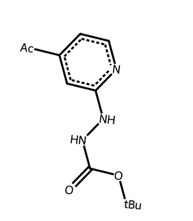 CC(=O)c1ccnc(NNC(=O)OC(C)(C)C)c1